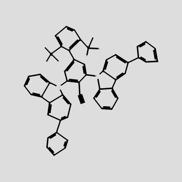 N#Cc1c(-n2c3ccccc3c3cc(-c4ccccc4)ccc32)cc(-c2c(C(F)(F)F)cccc2C(F)(F)F)cc1-n1c2ccccc2c2cc(-c3ccccc3)ccc21